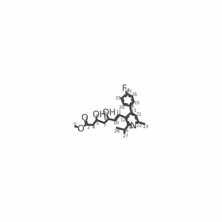 COC(=O)CC(O)CC(O)C=Cc1c(-c2ccc(F)cc2)cc(C)nc1C(C)C